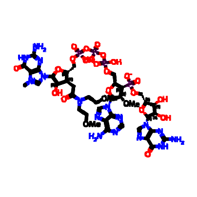 COCCN(CCOC)C(=O)C[C@@H]1[C@@H](COP(=O)(O)OP(=O)(O)OP(=O)(O)OCC2O[C@@H](n3cnc4c(N)ncnc43)[C@H](OC)[C@@H]2P(=O)([O-])OC[C@H]2O[C@@H](n3cnc4c(=O)[nH]c(N)nc43)[C@H](O)[C@@H]2O)OC(n2c[n+](C)c3c(=O)[nH]c(N)nc32)[C@@H]1O